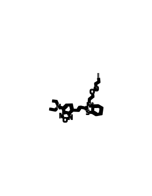 CCN(CC)c1ccc(/C=C/c2sc3ccccc3[n+]2CCOOCCI)c2nonc12